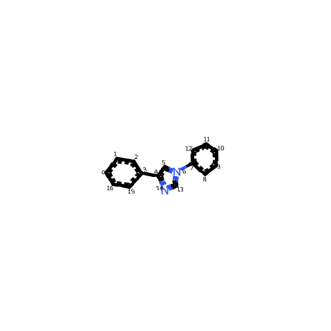 c1ccc(-c2cn(-c3ccccc3)cn2)cc1